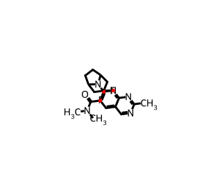 Cc1ncc2cc(C(=O)N(C)C)c(N3C4CCC3CC(F)(F)C4)nc2n1